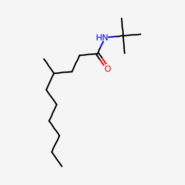 CCCCCCC(C)CCC(=O)NC(C)(C)C